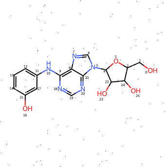 OCC1OC(n2cnc3c(Nc4cccc(O)c4)ncnc32)C(O)C1O